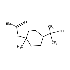 CCC(C)C(=O)OC1(C)CCC(C(O)(C(F)(F)F)C(F)(F)F)CC1